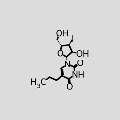 CCCc1cn([C@@H]2O[C@H](CO)[C@@H](I)[C@H]2O)c(=O)[nH]c1=O